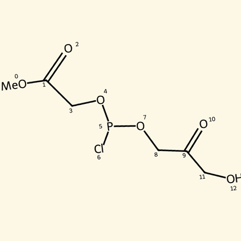 COC(=O)COP(Cl)OCC(=O)CO